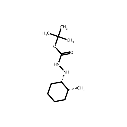 C[C@@H]1CCCC[C@@H]1NNC(=O)OC(C)(C)C